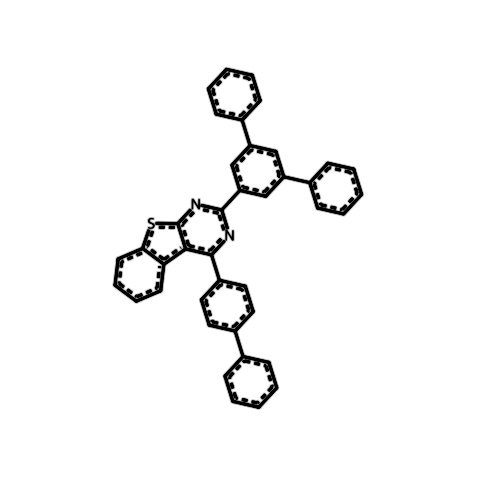 c1ccc(-c2ccc(-c3nc(-c4cc(-c5ccccc5)cc(-c5ccccc5)c4)nc4sc5ccccc5c34)cc2)cc1